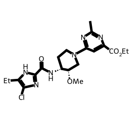 CCOC(=O)c1cc(N2CC[C@@H](NC(=O)c3nc(Cl)c(CC)[nH]3)[C@@H](OC)C2)nc(C)n1